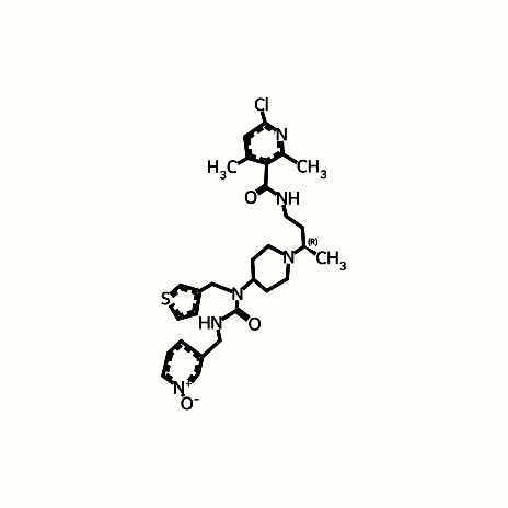 Cc1cc(Cl)nc(C)c1C(=O)NCC[C@@H](C)N1CCC(N(Cc2ccsc2)C(=O)NCc2ccc[n+]([O-])c2)CC1